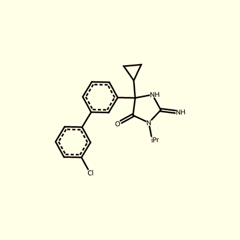 CC(C)N1C(=N)NC(c2cccc(-c3cccc(Cl)c3)c2)(C2CC2)C1=O